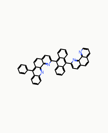 c1ccc(-c2c3ccccc3nc3c2ccc2ccc(-c4c5ccccc5c(-c5ccc6ccc7cccnc7c6n5)c5ccccc45)nc23)cc1